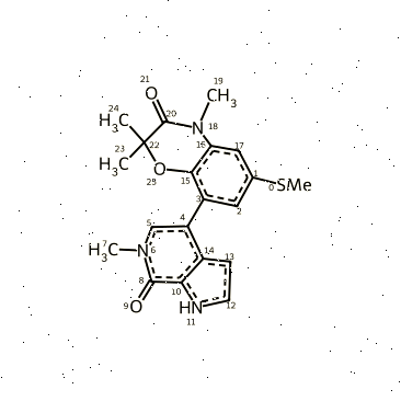 CSc1cc(-c2cn(C)c(=O)c3[nH]ccc23)c2c(c1)N(C)C(=O)C(C)(C)O2